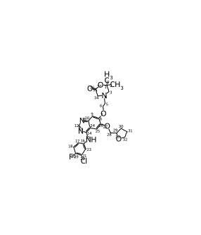 CC1(C)CN(CCOc2cc3ncnc(Nc4ccc(F)c(Cl)c4)c3cc2OCC2CCCO2)CC(=O)O1